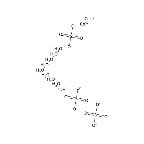 O.O.O.O.O.O.O.O.O.O=S(=O)([O-])[O-].O=S(=O)([O-])[O-].O=S(=O)([O-])[O-].[Ce+3].[Ce+3]